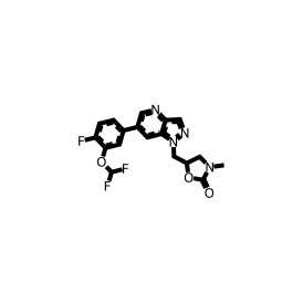 CN1CC(Cn2ncc3ncc(-c4ccc(F)c(OC(F)F)c4)cc32)OC1=O